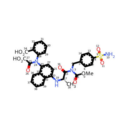 COC(=O)N(Cc1ccc(S(N)(=O)=O)cc1)C(=O)[C@H](C)Nc1ccc(N(C(=O)C(=O)O)c2ccccc2C(=O)O)c2ccccc12